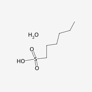 CCCCCCS(=O)(=O)O.O